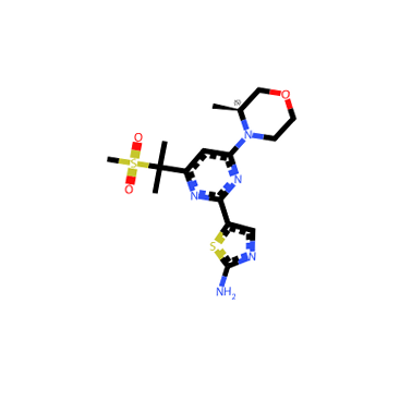 C[C@H]1COCCN1c1cc(C(C)(C)S(C)(=O)=O)nc(-c2cnc(N)s2)n1